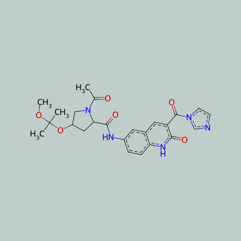 COC(C)(C)OC1CC(C(=O)Nc2ccc3[nH]c(=O)c(C(=O)n4ccnc4)cc3c2)N(C(C)=O)C1